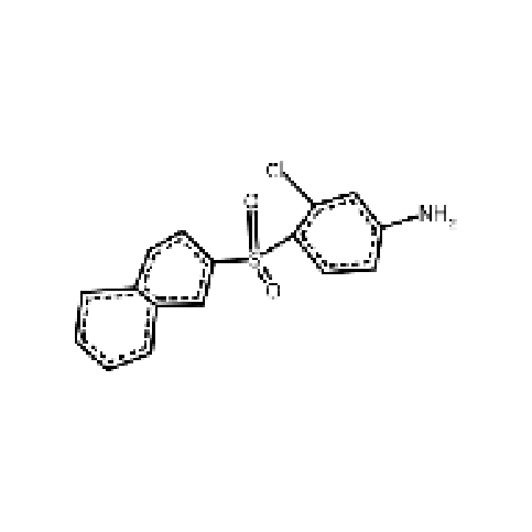 Nc1ccc(S(=O)(=O)c2ccc3ccccc3c2)c(Cl)c1